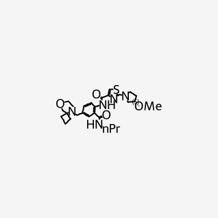 CCCNC(=O)c1cc(CN2CCOCC23CCC3)ccc1NC(=O)c1csc(N2CC[C@H](OC)C2)n1